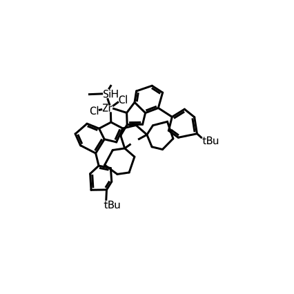 C[SiH](C)[Zr]([Cl])([Cl])([CH]1C(CC2(C)CCCCC2)=Cc2c(-c3ccc(C(C)(C)C)cc3)cccc21)[CH]1C(CC2(C)CCCCC2)=Cc2c(-c3ccc(C(C)(C)C)cc3)cccc21